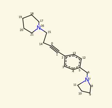 C(#Cc1ccc(CN2CCCC2)cc1)CCN1CCCCC1